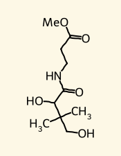 COC(=O)CCNC(=O)C(O)C(C)(C)CO